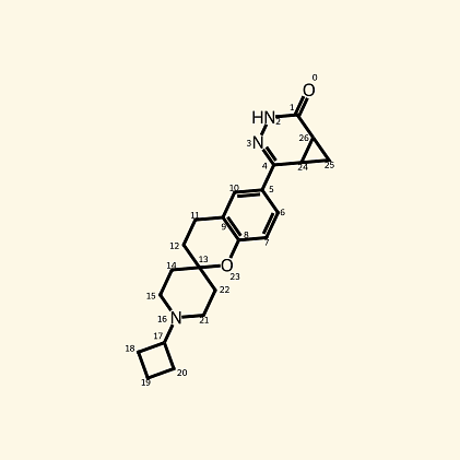 O=C1NN=C(c2ccc3c(c2)CCC2(CCN(C4CCC4)CC2)O3)C2CC12